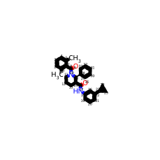 Cc1cccc(C)c1C(=O)N1CCCC(C(=O)Nc2cccc(C3CC3)c2)[C@@H]1C1C=CC=CC1